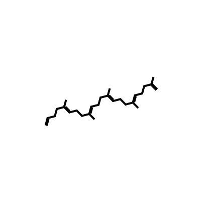 C=CCCC(C)=CCCC(C)=CCCC(C)=CCCC(C)=CCCC(=C)C